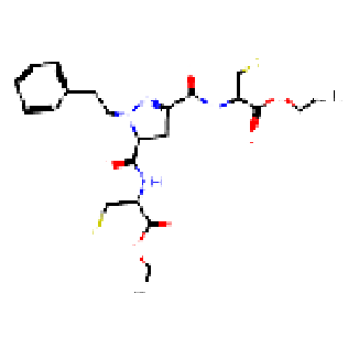 CCOC(=O)C(CS)NC(=O)C1=NN(CCc2ccccc2)C(C(=O)NC(CS)C(=O)OCC)C1